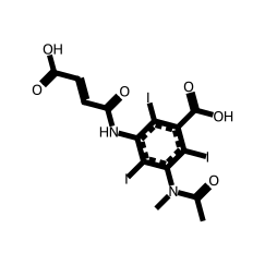 CC(=O)N(C)c1c(I)c(NC(=O)C=CC(=O)O)c(I)c(C(=O)O)c1I